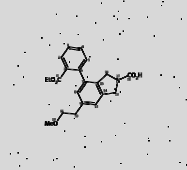 CCOC(=O)c1ccccc1-c1cc(CCOC)cc2c1CN(C(=O)O)C2